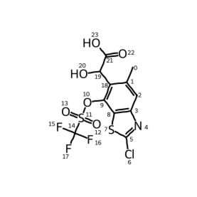 Cc1cc2nc(Cl)sc2c(OS(=O)(=O)C(F)(F)F)c1C(O)C(=O)O